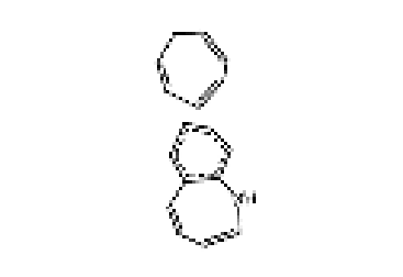 C1=CC=CCC=C1.C1=CNc2ccccc2C=C1